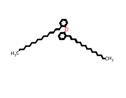 CCCCCCCCCCCC=CC=Cc1ccccc1Oc1ccccc1C=CC=CCCCCCCCCCCC